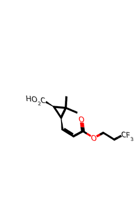 CC1(C)[C@H](C(=O)O)[C@@H]1/C=C\C(=O)OCCC(F)(F)F